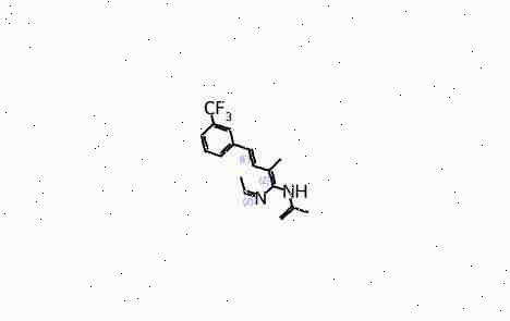 C=C(C)NC(/N=C\C)=C(C)/C=C/c1cccc(C(F)(F)F)c1